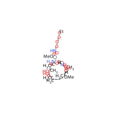 CCOCCOCCOCCOCCNC(=O)O[C@@H]1CC[C@@H](C[C@@H](N)[C@@H]2CC(=O)[C@H](C)/C=C(\C)[C@@H](O)[C@@H](O)C(=O)[C@H](C)C[C@H](C)/C=C/C=C/C=C(\C)[C@@H](OC)C[C@@H]3CC[C@@H](C)[C@@](O)(O3)C(=O)C(=O)N3CCCC[C@H]3C(=O)O2)C[C@H]1OC